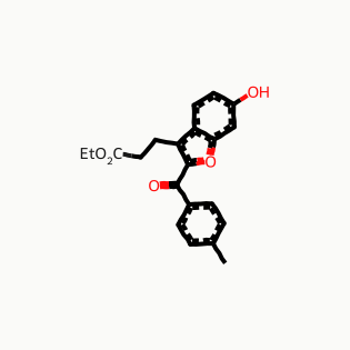 CCOC(=O)CCc1c(C(=O)c2ccc(C)cc2)oc2cc(O)ccc12